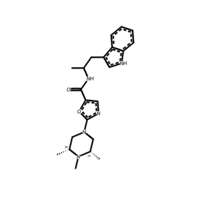 CC(Cc1c[nH]c2ccccc12)NC(=O)c1cnc(N2C[C@@H](C)N(C)[C@@H](C)C2)o1